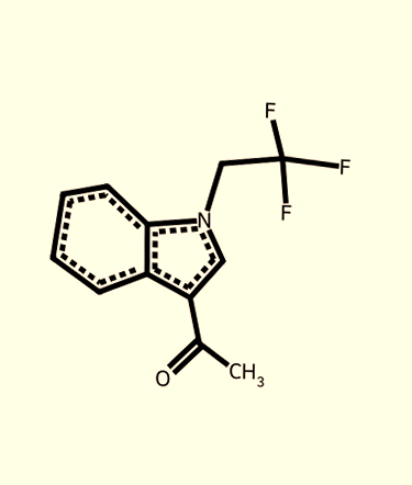 CC(=O)c1cn(CC(F)(F)F)c2ccccc12